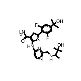 CC(NCc1nccc(NC2=C(C(N)=O)CC(c3c(F)cc(C(C)(C)O)cc3F)S2)n1)C(C)(C)O